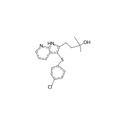 CC(C)(O)CCc1[nH]c2ncccc2c1Sc1ccc(Cl)cc1